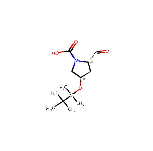 CC(C)(C)[Si](C)(C)O[C@@H]1C[C@@H](C=O)N(C(=O)O)C1